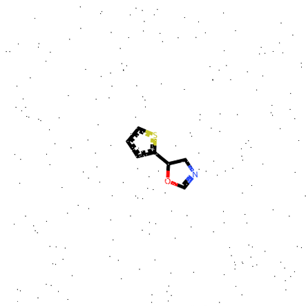 C1=NCC(c2cccs2)O1